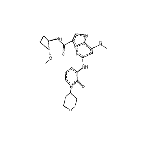 CNc1cc(Nc2cccn(C3CCOCC3)c2=O)nn2c(C(=O)N[C@@H]3CC[C@H]3OC)cnc12